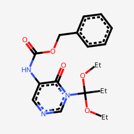 CCOC(CC)(OCC)n1cncc(NC(=O)OCc2ccccc2)c1=O